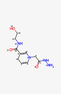 NNC(=O)CN1C=CCC(C(=O)NCCO)=C1